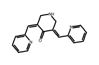 O=C1/C(=C\c2ccccn2)CNC/C1=C\c1ccccn1